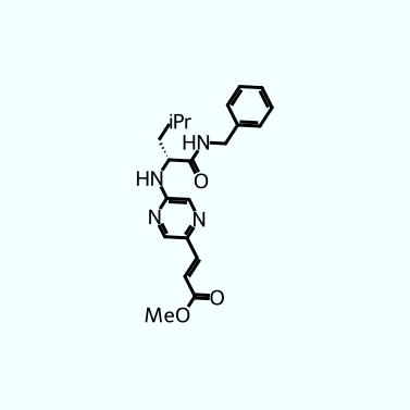 COC(=O)/C=C/c1cnc(N[C@H](CC(C)C)C(=O)NCc2ccccc2)cn1